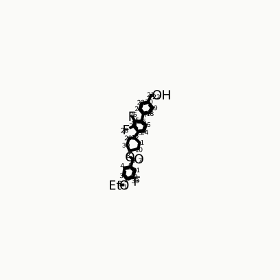 CCOc1ccc(C(=O)OC2CCC(c3ccc(-c4ccc(CO)cc4)c(F)c3F)CC2)cc1F